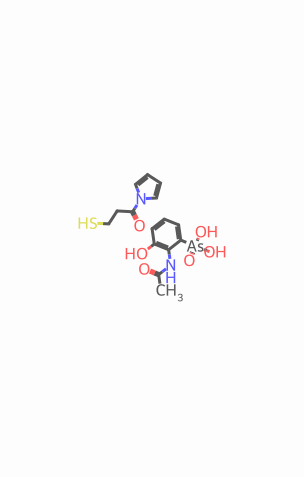 CC(=O)Nc1c(O)cccc1[As](=O)(O)O.O=C(CCS)n1cccc1